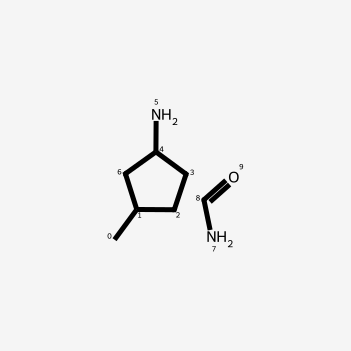 CC1CCC(N)C1.NC=O